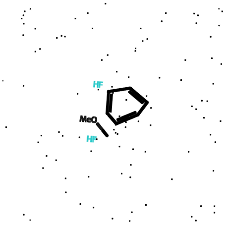 COC.F.F.c1ccccc1